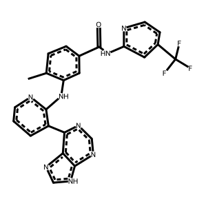 Cc1ccc(C(=O)Nc2cc(C(F)(F)F)ccn2)cc1Nc1ncccc1-c1ncnc2[nH]cnc12